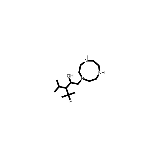 CC(C)C(C(O)CN1CCNCCNCC1)C(C)(C)F